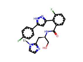 CCn1ccnc1C[C@H](CO)NC(=O)c1cccc(F)c1-c1cc(-c2ccc(F)cc2)[nH]n1